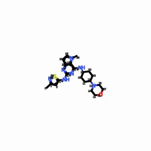 Cc1cc(Nc2nc(N[C@H]3CC[C@H](N4CCOCC4)CC3)c3c(ccn3C)n2)sn1